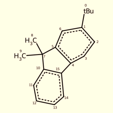 CC(C)(C)c1ccc2c(c1)C(C)(C)c1ccccc1-2